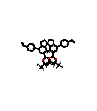 C=Cc1ccc(-c2cc(-c3cc(C(F)(F)F)cc(C(F)(F)F)c3)c(O)c3c2CCC32CCc3c(-c4ccc(C=C)cc4)cc(-c4cc(C(F)(F)F)cc(C(F)(F)F)c4)c(O)c32)cc1